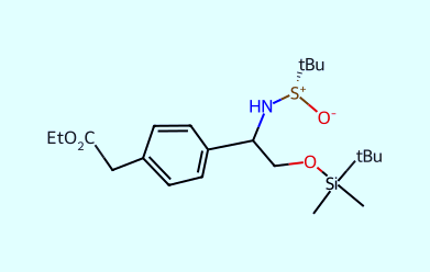 CCOC(=O)Cc1ccc(C(CO[Si](C)(C)C(C)(C)C)N[S@@+]([O-])C(C)(C)C)cc1